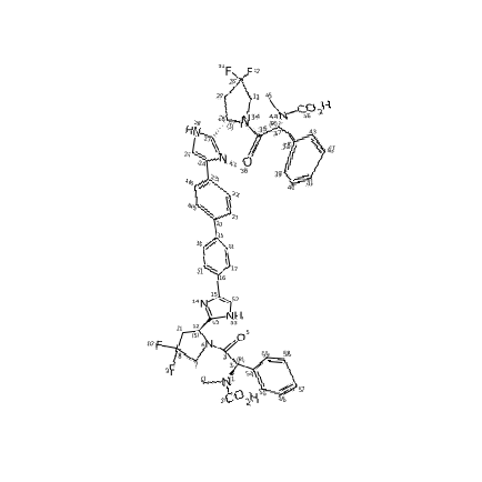 CN(C(=O)O)[C@@H](C(=O)N1CC(F)(F)C[C@H]1c1nc(-c2ccc(-c3ccc(-c4c[nH]c([C@@H]5CC(F)(F)CN5C(=O)[C@@H](c5ccccc5)N(C)C(=O)O)n4)cc3)cc2)c[nH]1)c1ccccc1